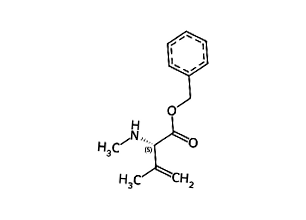 C=C(C)[C@H](NC)C(=O)OCc1ccccc1